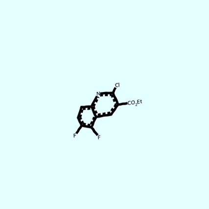 CCOC(=O)c1cc2c(F)c(F)ccc2nc1Cl